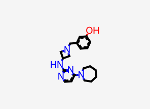 Oc1cccc(CN2CC(Nc3nccc(N4CCCCCC4)n3)C2)c1